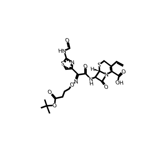 C=CC1=C(C(=O)O)N2C(=O)C(NC(=O)C(=NOCCCC(=O)OC(C)(C)C)c3csc(NC=O)n3)[C@@H]2SC1